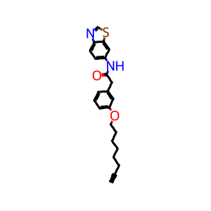 C#CCCCCCCOc1cccc(CC(=O)Nc2ccc3ncsc3c2)c1